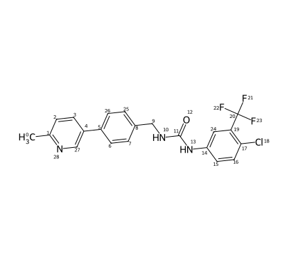 Cc1ccc(-c2ccc(CNC(=O)Nc3ccc(Cl)c(C(F)(F)F)c3)cc2)cn1